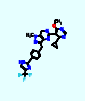 COc1ncnc(C2CC2)c1-c1ncc2c(n1)c(Cc1ccc(-c3nc(C(F)(F)F)c[nH]3)cc1)nn2C